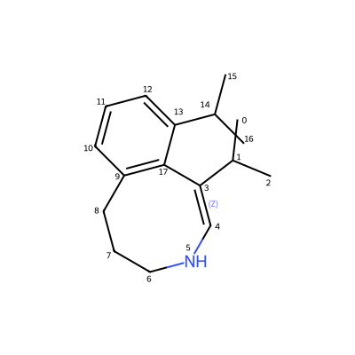 CC(C)/C1=C/NCCCc2cccc(C(C)C)c21